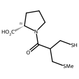 CSCC(CS)C(=O)N1CCC[C@H]1C(=O)O